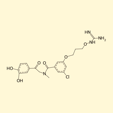 CN(CC(=O)c1ccc(O)c(O)c1)C(=O)c1cc(Cl)cc(OCCCONC(=N)N)c1